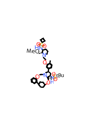 COC[C@H]1[C@@H](NS(=O)(=O)C2CCC2)CCCN1CCOc1cc(C2CC(NS(=O)(=O)C(C)(C)C)[C@@H]3COC4CCC(CC4)c4ccccc4OCCN3C2)ccc1C